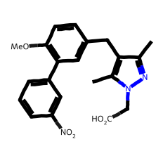 COc1ccc(Cc2c(C)nn(CC(=O)O)c2C)cc1-c1cccc([N+](=O)[O-])c1